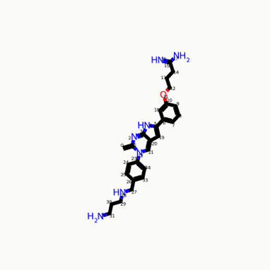 C=C1N=c2[nH]c(-c3cccc(OCCCC(=N)N)c3)cc2=CN1c1ccc(CNCCCN)cc1